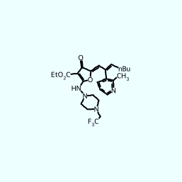 CCCC/C=C(/C=C1\OC(NN2CCN(CC(F)(F)F)CC2)=C(C(=O)OCC)C1=O)c1cccnc1C